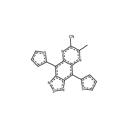 Cc1nc2c(-c3cccs3)c3nsnc3c(-c3cccs3)c2nc1C#N